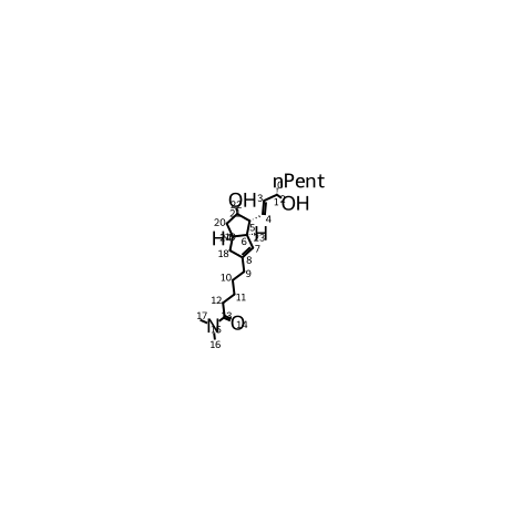 CCCCC[C@H](O)/C=C/[C@@H]1[C@H]2C=C(CCCCC(=O)N(C)C)C[C@H]2C[C@H]1O